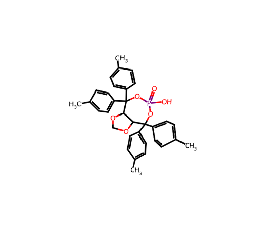 Cc1ccc(C2(c3ccc(C)cc3)OP(=O)(O)OC(c3ccc(C)cc3)(c3ccc(C)cc3)C3OCOC32)cc1